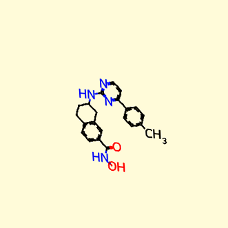 Cc1ccc(-c2ccnc(NC3CCc4ccc(C(=O)NO)cc4C3)n2)cc1